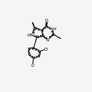 Cc1nc2c(-c3ccc(Cl)cc3Cl)[nH]c(C)c2c(=O)[nH]1